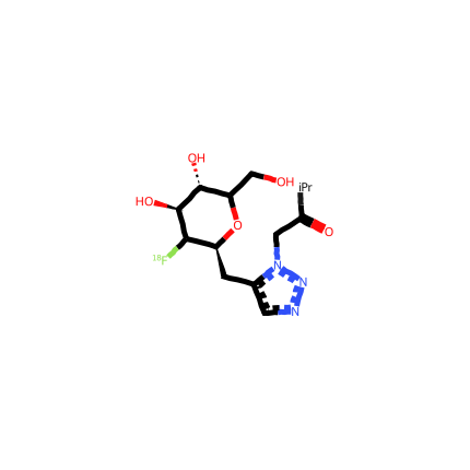 CC(C)C(=O)Cn1nncc1C[C@@H]1OC(CO)[C@@H](O)[C@H](O)C1[18F]